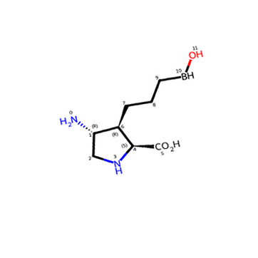 N[C@H]1CN[C@H](C(=O)O)[C@@H]1CCCBO